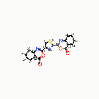 O=c1oc(-c2csc(-c3nc4ccccc4c(=O)o3)n2)nc2ccccc12